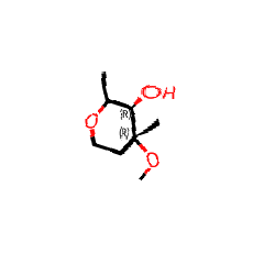 CO[C@]1(C)CCOC(C)[C@H]1O